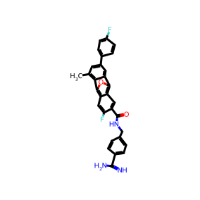 Cc1cc(-c2ccc(F)cc2)cc2c3oc(c4cc(F)c(C(=O)NCc5ccc(C(=N)N)cc5)cc43)c12